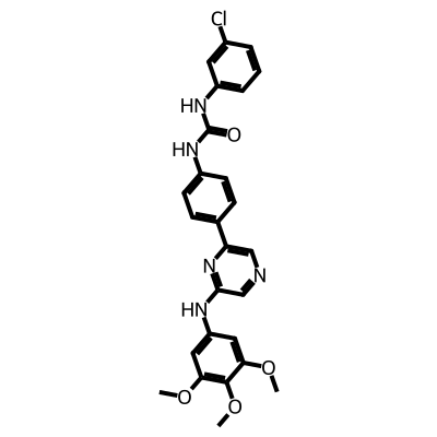 COc1cc(Nc2cncc(-c3ccc(NC(=O)Nc4cccc(Cl)c4)cc3)n2)cc(OC)c1OC